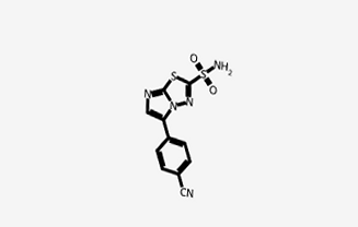 N#Cc1ccc(-c2cnc3sc(S(N)(=O)=O)nn23)cc1